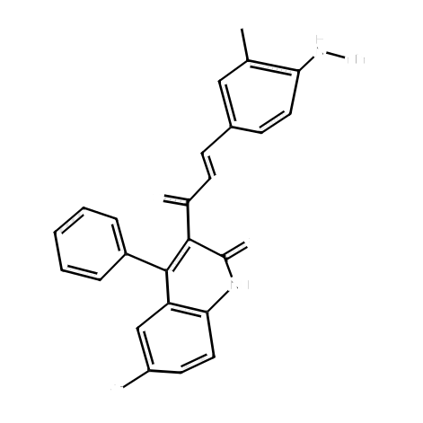 CCCNc1ccc(/C=C/C(=O)c2c(-c3ccccc3)c3cc(Cl)ccc3[nH]c2=O)cc1C